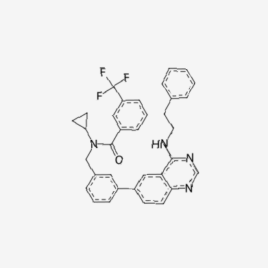 O=C(c1cccc(C(F)(F)F)c1)N(Cc1cccc(-c2ccc3ncnc(NCCc4ccccc4)c3c2)c1)C1CC1